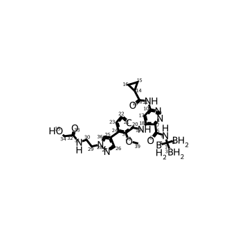 BC(B)(B)NC(=O)c1nnc(NC(=O)C2CC2)cc1Nc1cccc(-c2cnn(CCNC(=O)CO)c2)c1OC